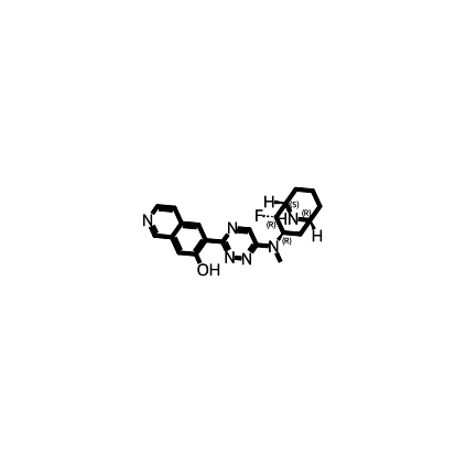 CN(c1cnc(-c2cc3ccncc3cc2O)nn1)[C@@H]1C[C@H]2CCC[C@H](N2)[C@H]1F